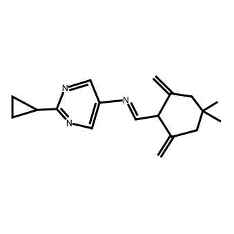 C=C1CC(C)(C)CC(=C)C1/C=N/c1cnc(C2CC2)nc1